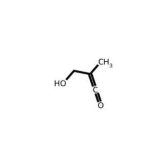 CC(=C=O)CO